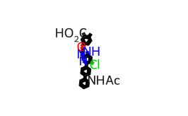 CC(=O)Nc1ccccc1-c1ccc(-c2nc3nc(Oc4ccc(C)c(C(=O)O)c4)[nH]c3cc2Cl)cc1